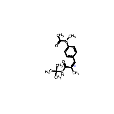 CC(=O)N(C)c1ccc(/C=C(/C)C(=O)NC(C)(C)C)cc1